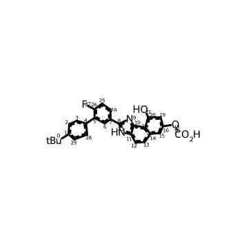 CC(C)(C)c1ccc(-c2cc(-c3nc4c(ccc5cc(OC(=O)O)cc(O)c54)[nH]3)ccc2F)cc1